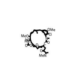 CNC(C)C(=O)CC1CC(=O)N(C)c2cc(cc(OC)c2Cl)C/C(C)=C/C=C/C(OC)C2(O)CC(OC(=O)N2)C2(C)CC1(C)O2